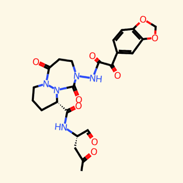 CC(=O)C[C@@H](C=O)NC(=O)[C@@H]1CCCN2C(=O)CCN(NC(=O)C(=O)c3ccc4c(c3)OCO4)C(=O)N12